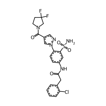 NS(=O)(=O)c1cc(NC(=O)Cc2ccccc2Cl)ccc1-n1cc(C(=O)N2CCC(F)(F)C2)cn1